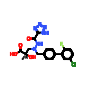 C[C@@](O)(CN(Cc1ccc(-c2cc(Cl)ccc2F)cc1)NC(=O)c1nnn[nH]1)C(=O)O